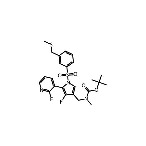 CSCc1cccc(S(=O)(=O)n2cc(CN(C)C(=O)OC(C)(C)C)c(F)c2-c2cccnc2F)c1